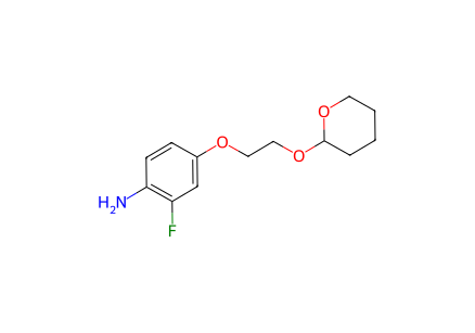 Nc1ccc(OCCOC2CCCCO2)cc1F